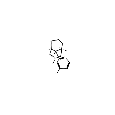 CN1C[C@H]2CCC[C@@H](C1)C2(O)c1cc(Br)ccn1